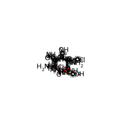 CC1(C)CC2(C(=O)NC(Cc3ccc(O)cc3)C(N)=O)CSSC[C@@H](NC(=O)[C@@H](N)Cc3ccc(Cl)cc3)C(=O)N[C@@H](Cc3ccc(O)cc3)C(=O)N[C@H](Cc3ccc(C(N)=O)cc3)C(=O)N[C@@H](CCCCN)C(=O)NC1C(=O)N2